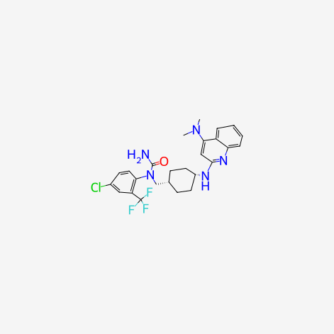 CN(C)c1cc(N[C@H]2CC[C@@H](CN(C(N)=O)c3ccc(Cl)cc3C(F)(F)F)CC2)nc2ccccc12